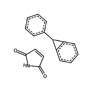 O=C1C=CC(=O)N1.c1ccc(C2c3ccccc32)cc1